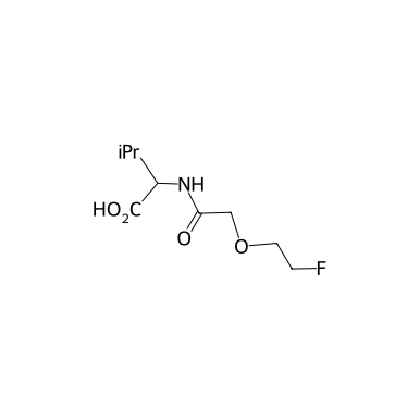 CC(C)C(NC(=O)COCCF)C(=O)O